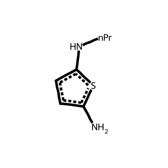 CCCNc1ccc(N)s1